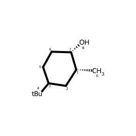 C[C@@H]1CC(C(C)(C)C)CC[C@@H]1O